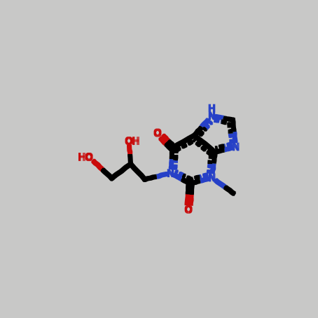 Cn1c(=O)n(CC(O)CO)c(=O)c2[nH]cnc21